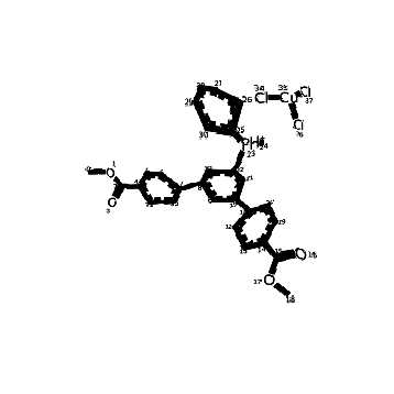 COC(=O)c1ccc(-c2cc(-c3ccc(C(=O)OC)cc3)cc([PH+](C)c3ccccc3)c2)cc1.[Cl][Cu-]([Cl])[Cl]